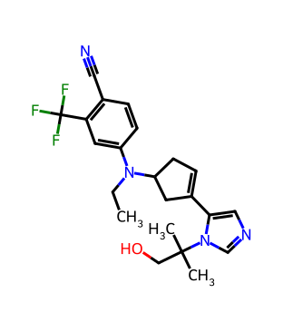 CCN(c1ccc(C#N)c(C(F)(F)F)c1)C1CC=C(c2cncn2C(C)(C)CO)C1